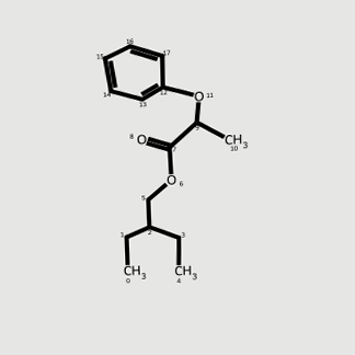 CCC(CC)COC(=O)C(C)Oc1ccccc1